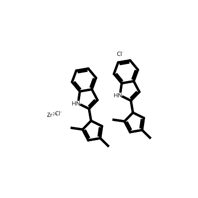 CC1=CC(c2cc3ccccc3[nH]2)C(C)=C1.CC1=CC(c2cc3ccccc3[nH]2)C(C)=C1.[Cl-].[Cl-].[Zr+2]